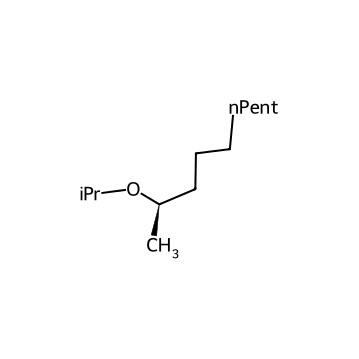 CCCCCCCC[C@@H](C)OC(C)C